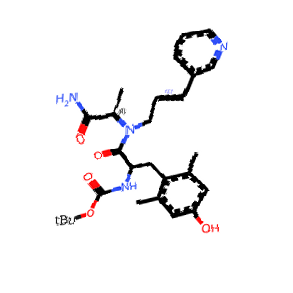 Cc1cc(O)cc(C)c1CC(NC(=O)OC(C)(C)C)C(=O)N(C/C=C/c1cccnc1)[C@H](C)C(N)=O